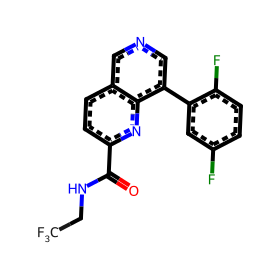 O=C(NCC(F)(F)F)c1ccc2cncc(-c3cc(F)ccc3F)c2n1